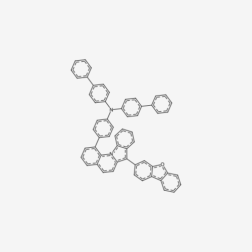 c1ccc(-c2ccc(N(c3ccc(-c4ccccc4)cc3)c3ccc(-c4cccc5ccc6c(-c7ccc8c(c7)oc7ccccc78)c7ccccc7n6c45)cc3)cc2)cc1